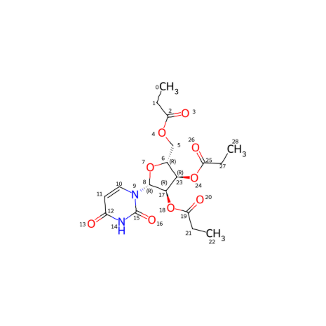 CCC(=O)OC[C@H]1O[C@@H](n2ccc(=O)[nH]c2=O)[C@H](OC(=O)CC)[C@@H]1OC(=O)CC